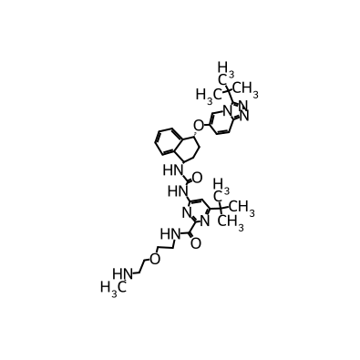 CNCCOCCNC(=O)c1nc(NC(=O)N[C@H]2CC[C@@H](Oc3ccc4nnc(C(C)(C)C)n4c3)c3ccccc32)cc(C(C)(C)C)n1